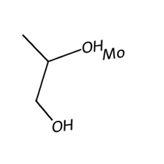 CC(O)CO.[Mo]